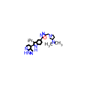 CC(C)c1c(-c2ccnc3[nH]ncc23)[nH]c2ccc(-c3nnc(CN4CCC(N(C)C)C4)o3)cc12